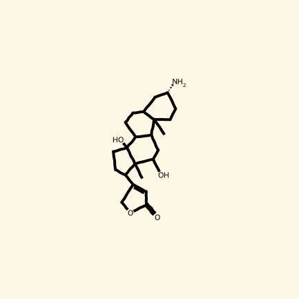 CC12CC[C@@H](N)CC1CCC1C2CC(O)C2(C)C(C3=CC(=O)OC3)CCC12O